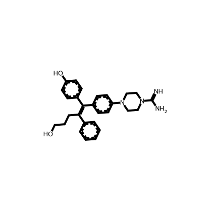 N=C(N)N1CCN(c2ccc(/C(=C(/CCCO)c3ccccc3)c3ccc(O)cc3)cc2)CC1